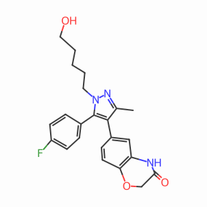 Cc1nn(CCCCCO)c(-c2ccc(F)cc2)c1-c1ccc2c(c1)NC(=O)CO2